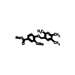 COC(=O)c1ccc(OCc2nc(C)c(C)nc2C)c(OC)c1